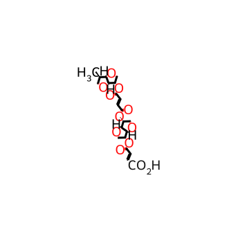 C[C@@H]1CO[C@H]2[C@@H]1OC[C@H]2OC(=O)C=CC(=O)O[C@@H]1CO[C@H]2[C@@H]1OC[C@H]2OC(=O)C=CC(=O)O